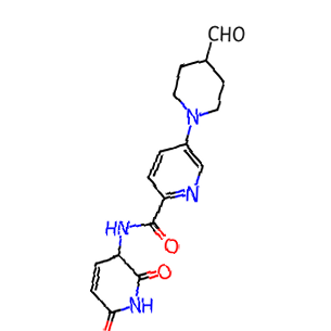 O=CC1CCN(c2ccc(C(=O)NC3C=CC(=O)NC3=O)nc2)CC1